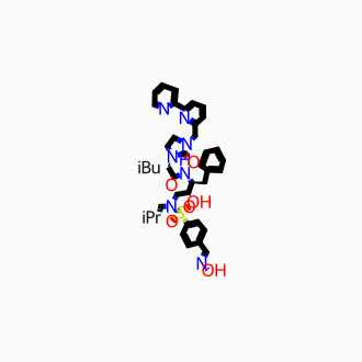 CC[C@H](C)[C@@H](C(=O)N[C@@H](Cc1ccccc1)[C@H](O)CN(CC(C)C)S(=O)(=O)c1ccc(C=NO)cc1)N1CCN(Cc2cccc(-c3ccccn3)n2)C1=O